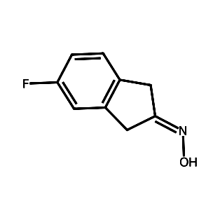 ON=C1Cc2ccc(F)cc2C1